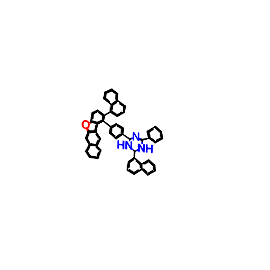 c1ccc(C2=NC(c3ccc(-c4c(-c5cccc6ccccc56)ccc5oc6cc7ccccc7cc6c45)cc3)NC(c3cccc4ccccc34)N2)cc1